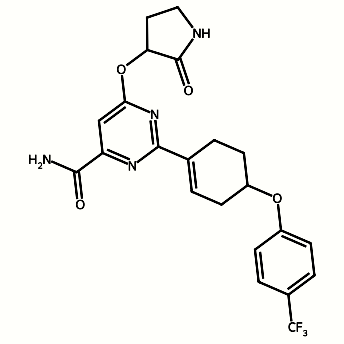 NC(=O)c1cc(OC2CCNC2=O)nc(C2=CCC(Oc3ccc(C(F)(F)F)cc3)CC2)n1